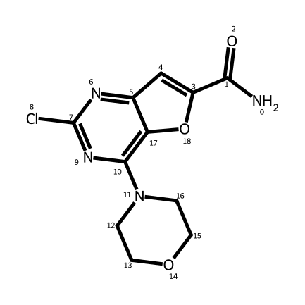 NC(=O)c1cc2nc(Cl)nc(N3CCOCC3)c2o1